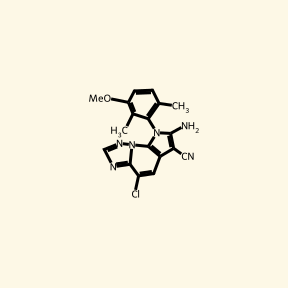 COc1ccc(C)c(-n2c(N)c(C#N)c3cc(Cl)c4ncnn4c32)c1C